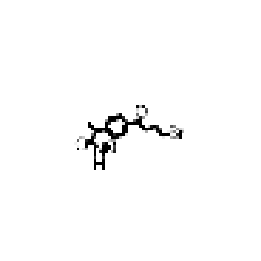 CC1C(=O)NOc2cc(C(=O)CCCBr)ccc21